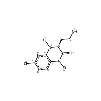 CCN1C(=O)[C@H](CCO)N(CC)c2nc(Cl)ncc21